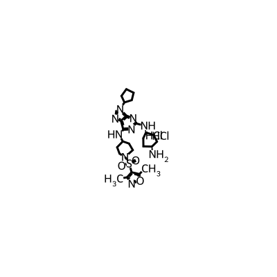 Cc1noc(C)c1S(=O)(=O)N1CCC(Nc2nc(N[C@H]3CC[C@H](N)CC3)nc3c2ncn3C2CCCC2)CC1.Cl.Cl